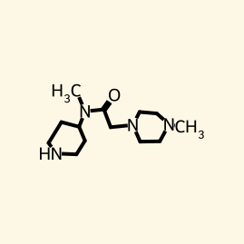 CN1CCN(CC(=O)N(C)C2CCNCC2)CC1